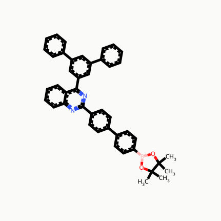 CC1(C)OB(c2ccc(-c3ccc(-c4nc(-c5cc(-c6ccccc6)cc(-c6ccccc6)c5)c5ccccc5n4)cc3)cc2)OC1(C)C